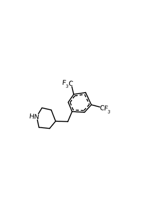 FC(F)(F)c1cc(CC2CCNCC2)cc(C(F)(F)F)c1